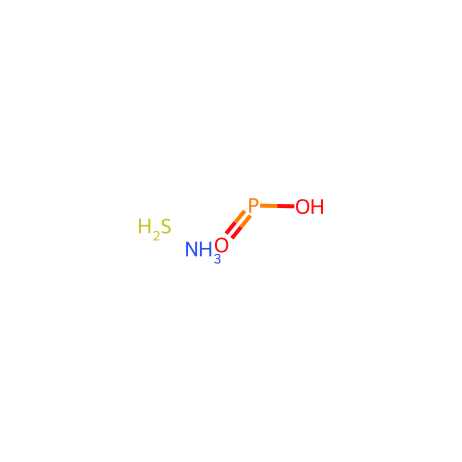 N.O=PO.S